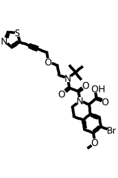 COc1cc2c(cc1Br)C(C(=O)O)N(C(=O)C(=O)N(CCOCC#Cc1cncs1)C(C)(C)C)CC2